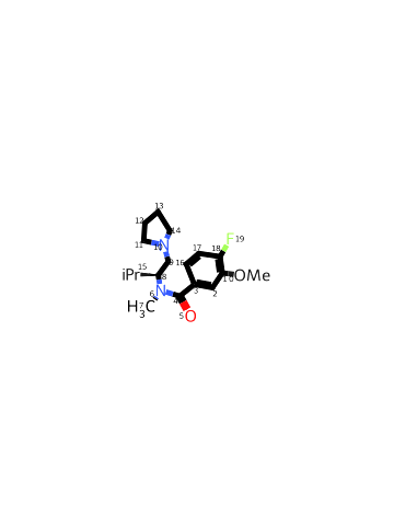 COc1cc(C(=O)N(C)[C@H](CN2CCCC2)C(C)C)ccc1F